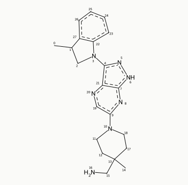 CC1CN(c2n[nH]c3nc(N4CCC(C)(CN)CC4)cnc23)c2ccccc21